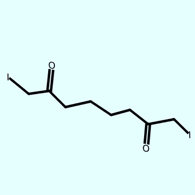 O=C(CI)CCCCC(=O)CI